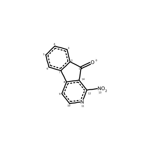 O=C1c2ccccc2-c2ccnc([N+](=O)[O-])c21